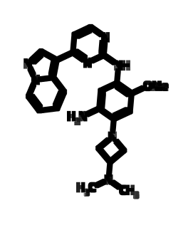 COc1cc(N2CC(N(C)C)C2)c(N)cc1Nc1nccc(-c2cnn3ccccc23)n1